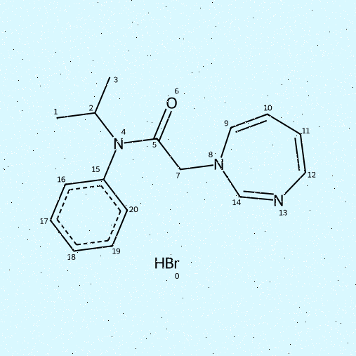 Br.CC(C)N(C(=O)CN1C=CC=CN=C1)c1ccccc1